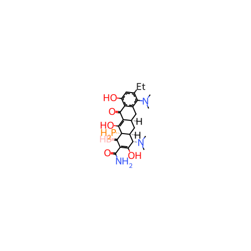 B=C1C(C(N)=O)=C(O)[C@@H](N(C)C)[C@@H]2C[C@@H]3Cc4c(c(O)cc(CC)c4N(C)C)C(=O)C3=C(O)[C@]12P